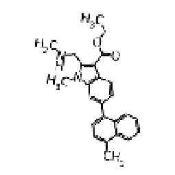 CCOC(=O)c1c(CNC)n(C)c2cc(-c3ccc(C)c4ccccc34)ccc12